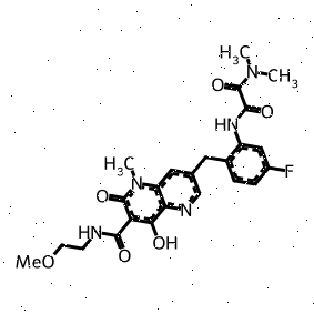 COCCNC(=O)c1c(O)c2ncc(Cc3ccc(F)cc3NC(=O)C(=O)N(C)C)cc2n(C)c1=O